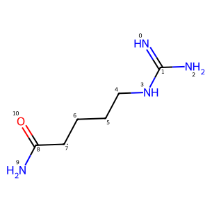 N=C(N)NCCC[CH]C(N)=O